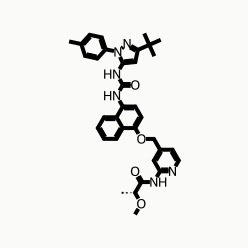 CO[C@H](C)C(=O)Nc1cc(COc2ccc(NC(=O)Nc3cc(C(C)(C)C)nn3-c3ccc(C)cc3)c3ccccc23)ccn1